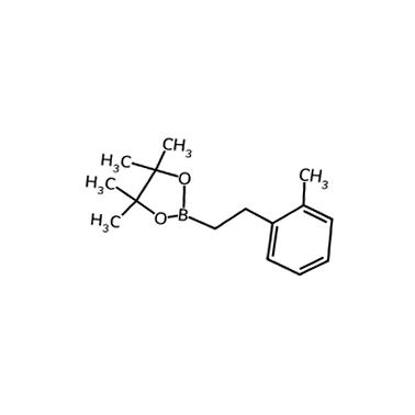 Cc1ccccc1CCB1OC(C)(C)C(C)(C)O1